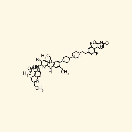 CCOc1cc(N2CCC(N3CCN(CCc4cc(F)c(C5CCC(=O)NC5=O)c(F)c4)CC3)CC2)c(CC)cc1Nc1ncc(Br)c(Nc2ccc3nc(CC)ccc3c2P(C)(C)=O)n1